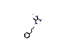 Cc1nnc(NCCCc2ccccc2)c2cn(C)c(C)c12